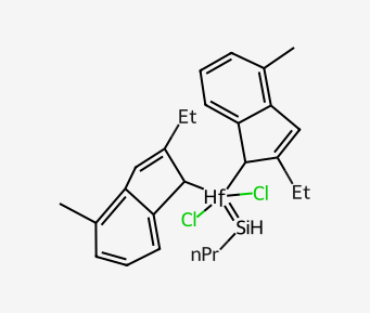 CCC[SiH]=[Hf]([Cl])([Cl])([CH]1C(CC)=Cc2c(C)cccc21)[CH]1C(CC)=Cc2c(C)cccc21